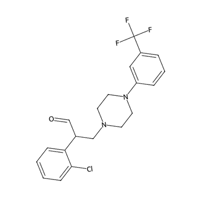 O=CC(CN1CCN(c2cccc(C(F)(F)F)c2)CC1)c1ccccc1Cl